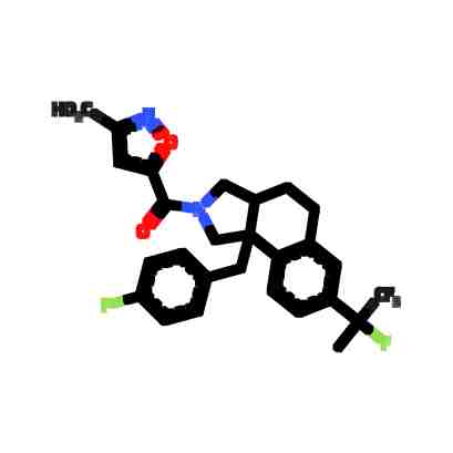 CC(F)(c1ccc2c(c1)CCC1CN(C(=O)c3cc(C(=O)O)no3)CC21Cc1ccc(F)cc1)C(F)(F)F